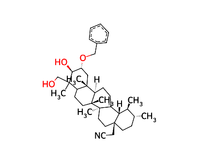 C[C@H]1[C@H](C)CC[C@]2(CC#N)CC[C@]3(C)C(=CC[C@@H]4[C@@]5(C)C[C@@H](OCc6ccccc6)[C@H](O)C(C)(CO)C5CC[C@]43C)[C@H]12